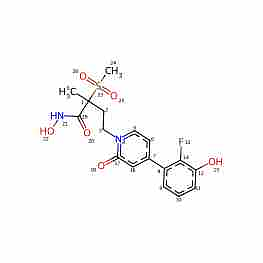 CC(CCn1ccc(-c2cccc(O)c2F)cc1=O)(C(=O)NO)S(C)(=O)=O